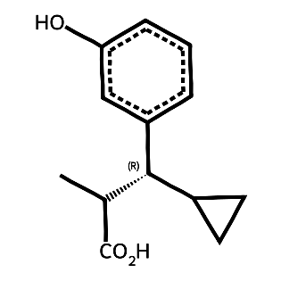 CC(C(=O)O)[C@H](c1cccc(O)c1)C1CC1